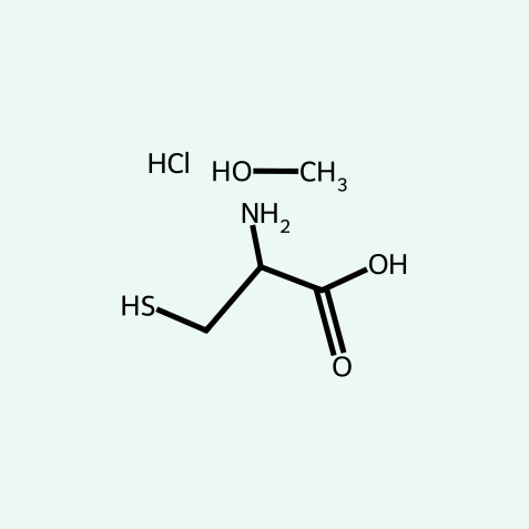 CO.Cl.NC(CS)C(=O)O